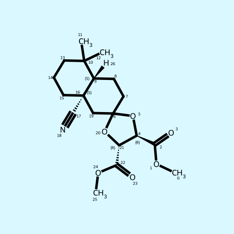 COC(=O)[C@@H]1OC2(CC[C@H]3C(C)(C)CCC[C@]3(C#N)C2)O[C@H]1C(=O)OC